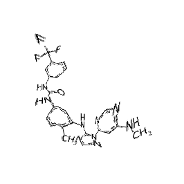 CNc1cc(-n2ncnc2Nc2cc(NC(=O)Nc3cccc(C(F)(F)F)c3)ccc2C)ncn1